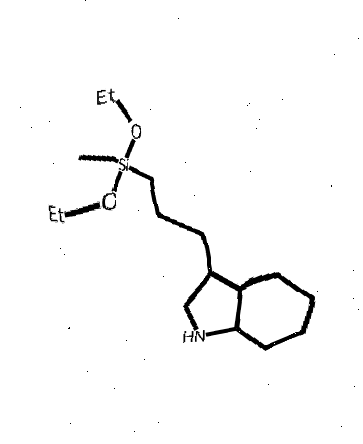 CCO[Si](C)(CCCC1CNC2CCCCC12)OCC